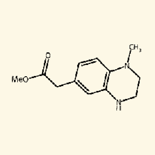 COC(=O)Cc1ccc2c(c1)NCCN2C